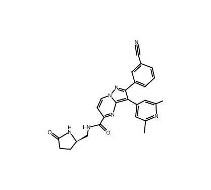 Cc1cc(-c2c(-c3cccc(C#N)c3)nn3ccc(C(=O)NC[C@H]4CCC(=O)N4)nc23)cc(C)n1